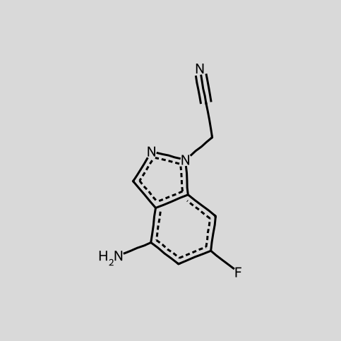 N#CCn1ncc2c(N)cc(F)cc21